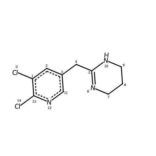 Clc1cc(CC2=NCCCN2)cnc1Cl